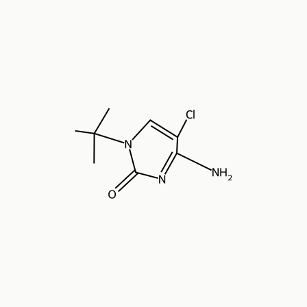 CC(C)(C)n1cc(Cl)c(N)nc1=O